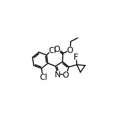 CCOC(=O)c1c(-c2c(Cl)cccc2Cl)noc1C1(F)CC1